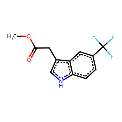 COC(=O)Cc1c[nH]c2ccc(C(F)(F)F)cc12